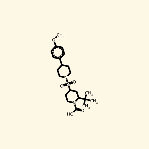 COc1ccc(C2CCN(S(=O)(=O)C3CCN(C(=O)O)C(C(C)(C)C)C3)CC2)cc1